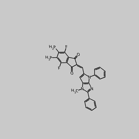 Cn1c(-c2ccccc2)nc2c1cc(C=C1C(=O)c3c(F)c(P)c(P)c(F)c3C1=O)n2-c1ccccc1